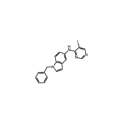 Ic1cncnc1Nc1ccc2c(ccn2Cc2ccccc2)c1